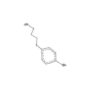 CCCSCCSc1ccc(C(C)(C)C)cc1